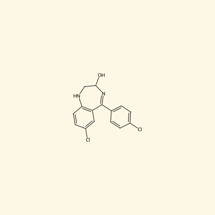 OC1CNc2ccc(Cl)cc2C(c2ccc(Cl)cc2)=N1